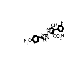 Cc1nn(-c2nnc(-c3ccc(C(F)(F)F)cc3)s2)c(C(=O)O)c1-c1cccc(F)c1